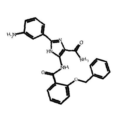 NC(=O)c1nc(-c2cccc(N)c2)[nH]c1NC(=O)c1ccccc1OCc1ccccc1